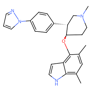 Cc1cc(C)c2[nH]ccc2c1O[C@@H]1CCN(C)C[C@H]1c1ccc(-n2cccn2)cc1